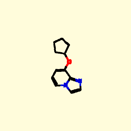 c1cc(OC2CCCC2)c2nccn2c1